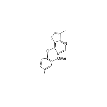 COc1cc(C)ccc1Oc1ncnc2c(C)csc12